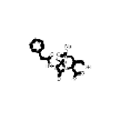 O=C(Cc1ccccc1)N[C@H]1C(=O)N2C(C(=O)[O-])=C(CO)CS(=O)(=O)[C@@H]12.[Na+]